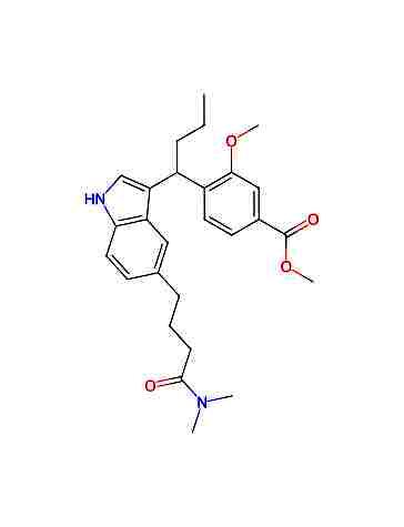 CCCC(c1ccc(C(=O)OC)cc1OC)c1c[nH]c2ccc(CCCC(=O)N(C)C)cc12